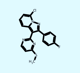 CSc1ccnc(-c2c(-c3ccc(F)cc3)nn3c(Cl)cccc23)n1